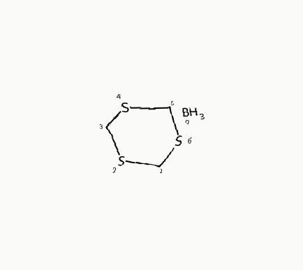 B.C1SCSCS1